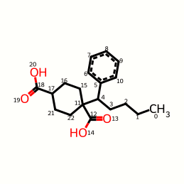 CCCCC(c1ccccc1)C1(C(=O)O)CCC(C(=O)O)CC1